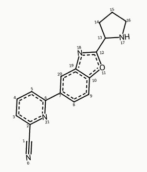 N#Cc1cccc(-c2ccc3oc(C4CCCN4)nc3c2)n1